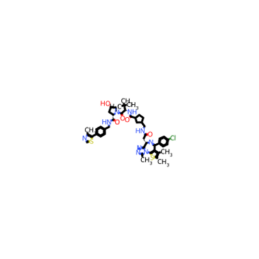 Cc1ncsc1-c1ccc(CNC(=O)[C@@H]2C[C@@H](O)CN2C(=O)[C@@H](NC(=O)C2CCC(CNC(=O)C[C@@H]3N=C(c4ccc(Cl)cc4)c4c(sc(C)c4C)-n4c(C)nnc43)C2)C(C)(C)C)cc1